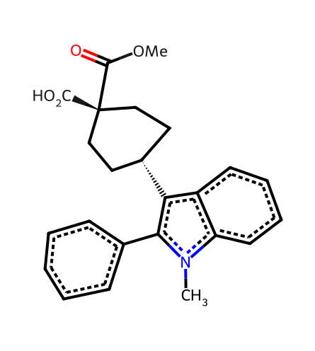 COC(=O)[C@]1(C(=O)O)CC[C@H](c2c(-c3ccccc3)n(C)c3ccccc32)CC1